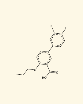 CCCOc1ccc(-c2ccc(F)c(F)c2)cc1C(=O)O